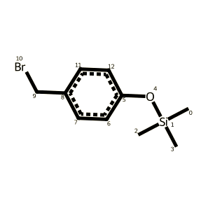 C[Si](C)(C)Oc1ccc(CBr)cc1